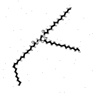 CCCCCCCC/C=C\CCCCCCCCCCCC(=O)OC[C@@H](COC(=O)CCCCCCCCCCCCCCC)OC(=O)CCCCCCCCCCCCCCC